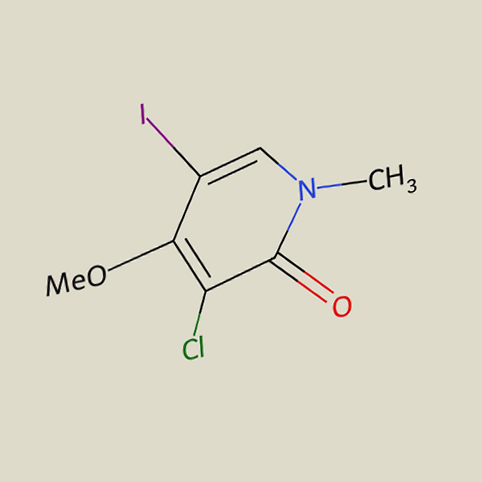 COc1c(I)cn(C)c(=O)c1Cl